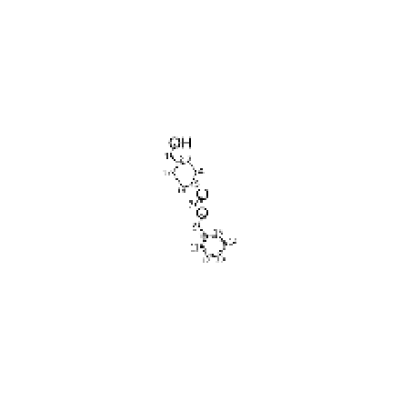 OC[C@H]1CC[C@H](OCOCc2ccccc2)CC1